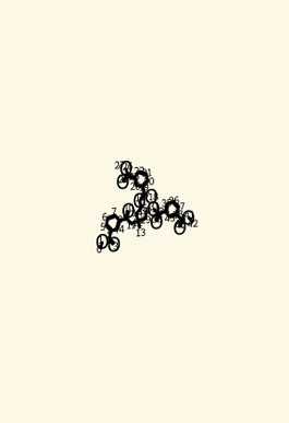 COC(=O)c1cccc(C(=O)CC(C)(CCOC(=O)c2cccc(C(=O)OC)c2)CCOC(=O)c2cccc(C(=O)OC)c2)c1